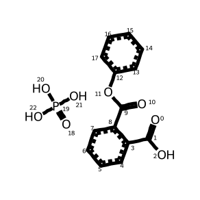 O=C(O)c1ccccc1C(=O)Oc1ccccc1.O=P(O)(O)O